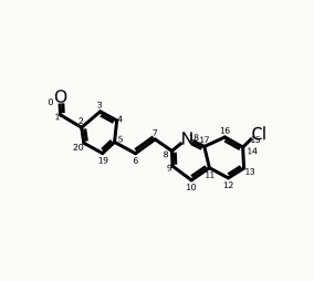 O=Cc1ccc(/C=C/c2ccc3ccc(Cl)cc3n2)cc1